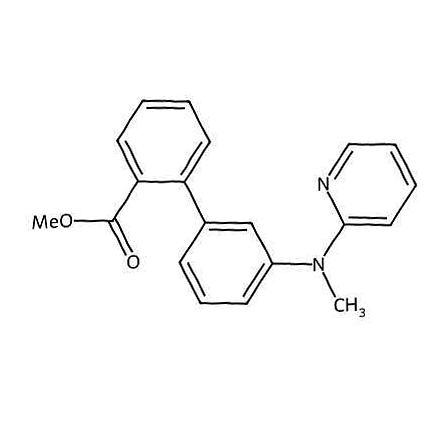 COC(=O)c1ccccc1-c1cccc(N(C)c2ccccn2)c1